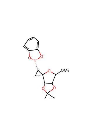 COC1O[C@@]2(C[C@@H]2B2Oc3ccccc3O2)C2OC(C)(C)OC12